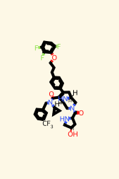 O=C(C1C[C@@H](O)CN1)N1C[C@@H]2CC(c3ccc(CCCOc4c(F)ccc(F)c4F)cc3)=C(C(=O)N(Cc3cccc(C(F)(F)F)c3)C3CC3)[C@H](C1)N2